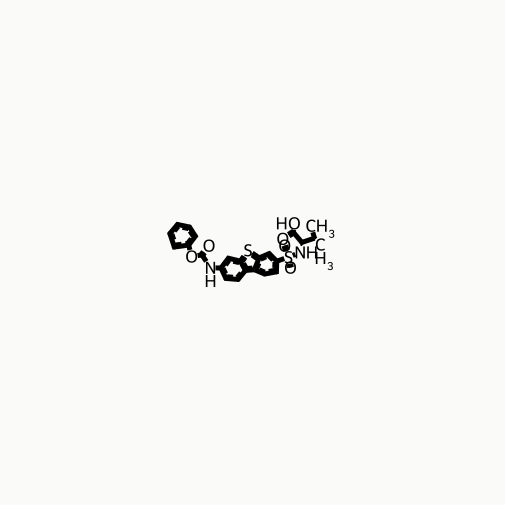 CC(C)[C@H](NS(=O)(=O)c1ccc2c(c1)sc1cc(NC(=O)Oc3ccccc3)ccc12)C(=O)O